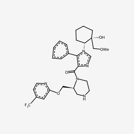 COC[C@]1(O)CCCC[C@H]1n1cnc(C(=O)N2CCNC[C@H]2COc2cc(C(F)(F)F)ccn2)c1-c1ccccc1